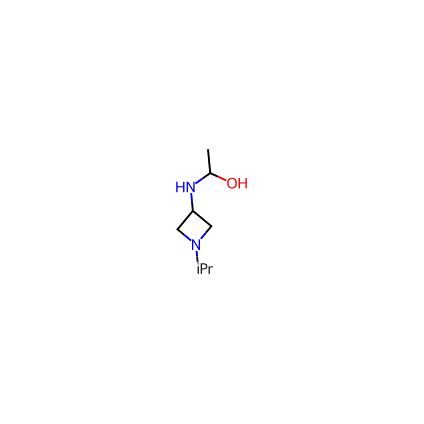 CC(O)NC1CN(C(C)C)C1